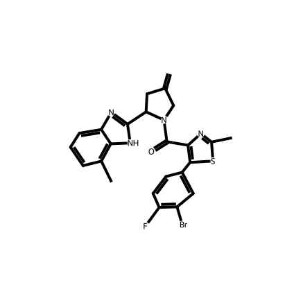 C=C1CC(c2nc3cccc(C)c3[nH]2)N(C(=O)c2nc(C)sc2-c2ccc(F)c(Br)c2)C1